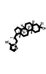 CC[C@@]1(O)CC[C@@]2(C)[C@H](CC[C@@H]3[C@@H]2CC[C@]2(C)[C@@H]([C@@H](C)Cn4nccc4C#N)CC[C@@H]32)C1